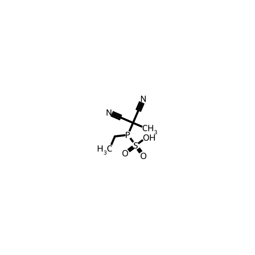 CCP(C(C)(C#N)C#N)S(=O)(=O)O